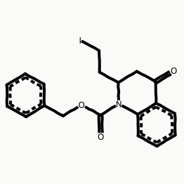 O=C1CC(CCI)N(C(=O)OCc2ccccc2)c2ccccc21